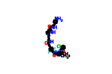 CC1(C)C(=O)N(Cc2c(F)cccc2Cl)c2cc(C(=O)NCc3c(F)cc(C#CC(=O)NCCCCn4ccc5c4NCC(C(=O)NCCc4ccc(N)cc4)=C5)cc3F)ccc21